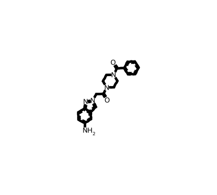 Nc1ccc2nn(CC(=O)N3CCN(C(=O)c4ccccc4)CC3)cc2c1